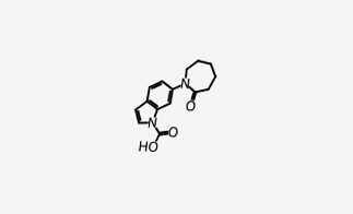 O=C1CCCCCN1c1ccc2ccn(C(=O)O)c2c1